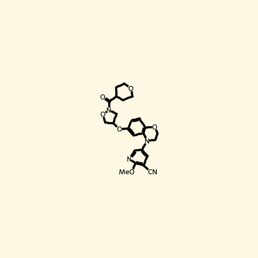 COc1ncc(N2CCOc3ccc(OC4CON(C(=O)C5CCOCC5)C4)cc32)cc1C#N